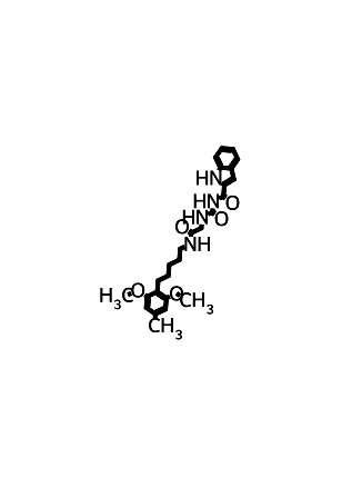 COc1cc(C)cc(OC)c1CCCCCNC(=O)CNC(=O)NC(=O)c1cc2ccccc2[nH]1